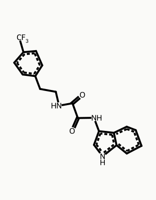 O=C(NCCc1ccc(C(F)(F)F)cc1)C(=O)Nc1c[nH]c2ccccc12